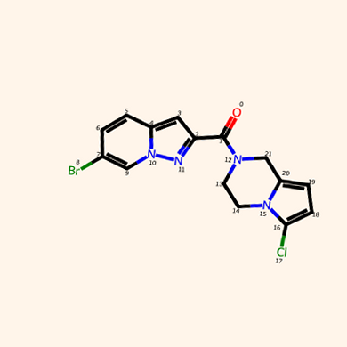 O=C(c1cc2ccc(Br)cn2n1)N1CCn2c(Cl)ccc2C1